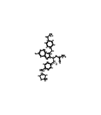 Cc1cnc2c(c1)nc(C(CC(N)=O)[C@H](C)c1ccc(N[C@H]3CCNC3)cc1)n2Cc1ccc(OC(F)(F)F)cc1